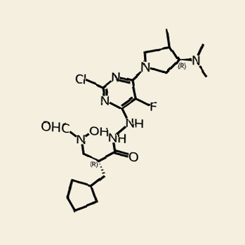 CC1CN(c2nc(Cl)nc(NNC(=O)[C@H](CC3CCCC3)CN(O)C=O)c2F)C[C@@H]1N(C)C